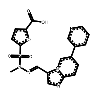 CN(N=Cc1cnc2ccc(-c3cccnc3)cn12)S(=O)(=O)c1ccc(C(=O)O)o1